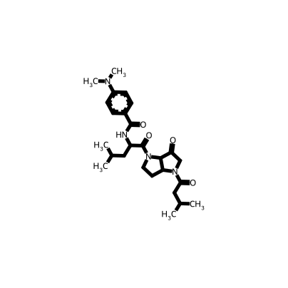 CC(C)CC(=O)N1CC(=O)C2C1CCN2C(=O)C(CC(C)C)NC(=O)c1ccc(N(C)C)cc1